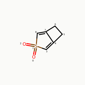 O=S1(=O)C=C2CCC2=C1